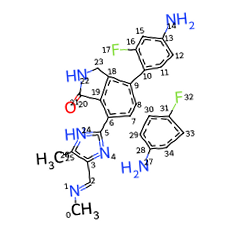 CN=Cc1nc(-c2ccc(-c3ccc(N)cc3F)c3c2C(=O)NC3)[nH]c1C.Nc1ccc(F)cc1